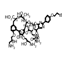 Cc1nc(-c2ccc(OCCC(C)(C)C)cc2)ncc1C(=O)N[C@@H](CNS(N)(=O)=O)C(=O)N(C)[C@@H]1C(=O)N[C@@H](C)C(=O)N[C@H](C(=O)O)Cc2ccc(OC[C@H](O)CN)c(c2)-c2cc1cc(OC[C@H](O)CN)c2O